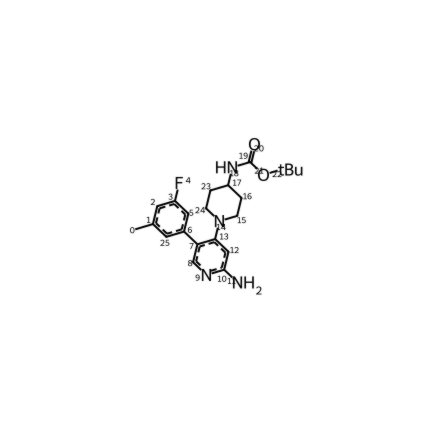 Cc1cc(F)cc(-c2cnc(N)cc2N2CCC(NC(=O)OC(C)(C)C)CC2)c1